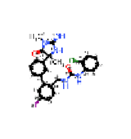 CN1C(=N)NC(C)(c2cccc(-c3cc(I)ccc3CNC(=O)Nc3ccccc3Cl)c2)C1=O